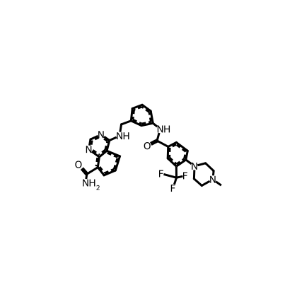 CN1CCN(c2ccc(C(=O)Nc3cccc(CNc4ncnc5c(C(N)=O)cccc45)c3)cc2C(F)(F)F)CC1